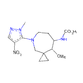 COC1C(NC(=O)O)CCN(c2c([N+](=O)[O-])cnn2C)CC12CC2